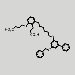 O=C(O)CCCOc1cccc(CCCCCCOc2cc(OCc3ccccc3)cc(-c3ccccc3)c2)c1CCC(=O)O